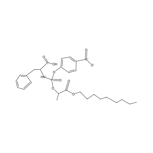 CCCCCCCCCOC(=O)C(C)OP(=O)(NC(Cc1ccccc1)C(=O)O)Oc1ccc([N+](=O)[O-])cc1